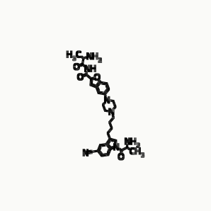 CC(N)C(=O)NC(=O)c1cc2cc(N3CCN(CCCCc4cn(C(=O)C(C)N)c5ccc(C#N)cc45)CC3)ccc2o1